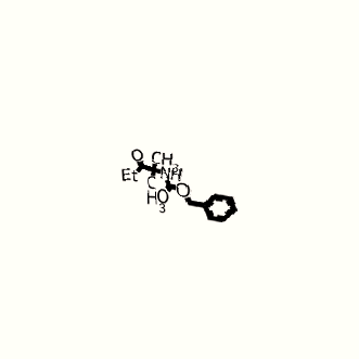 CCC(=O)C(C)(C)NC(=O)OCc1ccccc1